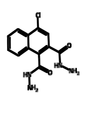 NNC(=O)c1cc(Cl)c2ccccc2c1C(=O)NN